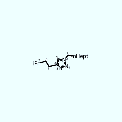 CCCCCCCCn1cc(CCC(C)C)nn1